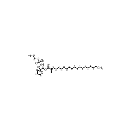 CCCCCCCCCCCCCCCCCCNC(=O)OCC1(CNS(=O)(=O)CCCI)CCCO1